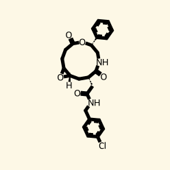 O=C(C[C@@H]1C[C@@H]2OC2CCC(=O)O[C@H](c2ccccc2)CNC1=O)NCc1ccc(Cl)cc1